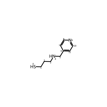 SCCCNCc1ccncc1